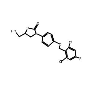 O=C1OC(CO)CN1c1ccc(OCc2c(Cl)cc(F)cc2Cl)cc1